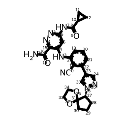 N#Cc1c(Nc2cc(NC(=O)C3CC3)nnc2C(N)=O)cccc1-c1cnn([C@H]2CCCC23OCCO3)c1